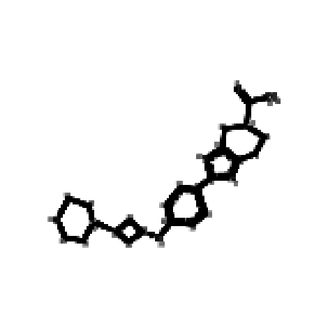 CC(=O)N1CCc2nc(-c3ccc(O[C@H]4C[C@H](N5CCOCC5)C4)cc3)sc2C1